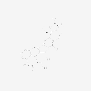 CC[C@@]1(OC(C)=O)C(=O)OCc2c1cc1n(c2=O)Cc2c-1nc1cccc3c1c2N(C(C)C)C(=O)N3